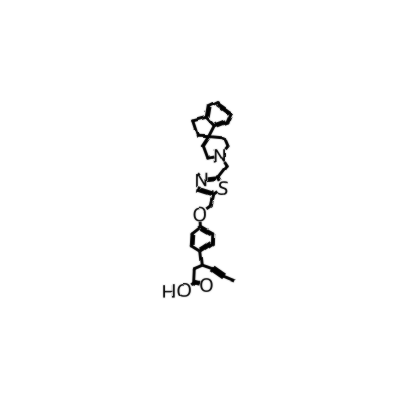 CC#CC(CC(=O)O)c1ccc(OCc2cnc(CN3CCC4(CCc5ccccc54)CC3)s2)cc1